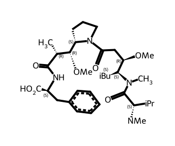 CC[C@H](C)[C@@H]([C@@H](CC(=O)N1CCC[C@H]1[C@H](OC)[C@@H](C)C(=O)N[C@@H](Cc1ccccc1)C(=O)O)OC)N(C)C(=O)[C@@H](NC)C(C)C